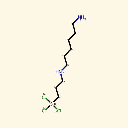 NCCCCCCNCCC[Si](Cl)(Cl)Cl